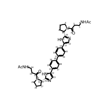 CC(=O)NCCC(=O)N1CCC[C@H]1c1ncc(-c2ccc(-c3ccc(-c4cnc([C@@H]5CCCN5C(=O)CCNC(C)=O)[nH]4)cc3)cc2)[nH]1